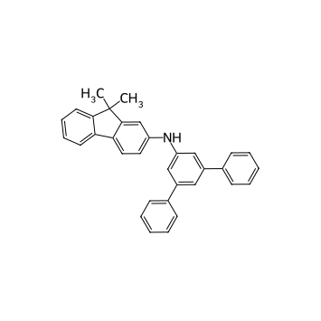 CC1(C)c2ccccc2-c2ccc(Nc3cc(-c4ccccc4)cc(-c4ccccc4)c3)cc21